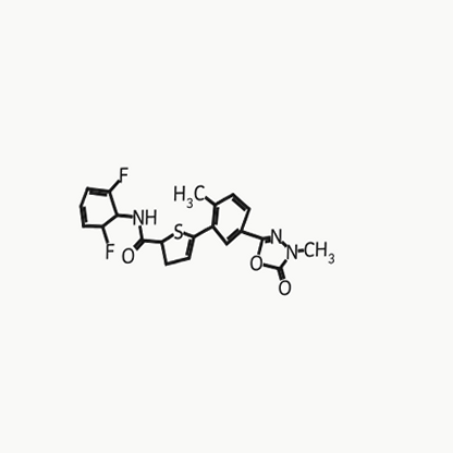 Cc1ccc(-c2nn(C)c(=O)o2)cc1C1=CCC(C(=O)NC2C(F)=CC=CC2F)S1